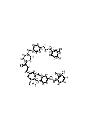 Cc1cc(/C=C/C(=O)N2CCN(Cc3ccc(CCOc4ccc(F)cc4)cc3)CC2)cc(Cl)c1Oc1ccc(OCc2cccc(Cl)c2F)cn1.Cl